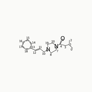 CC(C)CC(=O)N1CCN(C/C=C/c2ccccc2)CC1